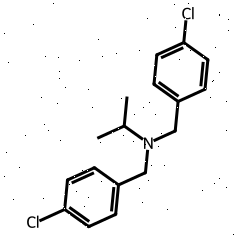 CC(C)N(Cc1ccc(Cl)cc1)Cc1ccc(Cl)cc1